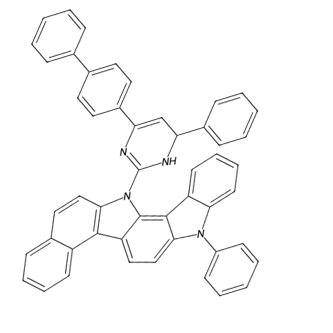 C1=C(c2ccc(-c3ccccc3)cc2)N=C(n2c3ccc4ccccc4c3c3ccc4c(c5ccccc5n4-c4ccccc4)c32)NC1c1ccccc1